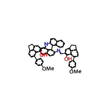 COc1ccc(-c2ccc3c4c(cc(/C=N/c5ccc6ccccc6c5-c5c(/N=C/c6cc7c8c(ccc(-c9ccc(OC)cc9)c8c6O)CC7)ccc6ccccc56)c(O)c24)CC3)cc1